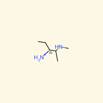 CC[C@H](N)C(C)NC